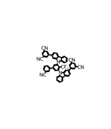 N#Cc1cccc(-c2cc(-n3c4ccccc4c4ccc(-c5cc(C#N)cc(C#N)c5)cc43)c(C(F)(F)F)c(-n3c4ccccc4c4ccc(-c5cc(C#N)cc(C#N)c5)cc43)c2)c1